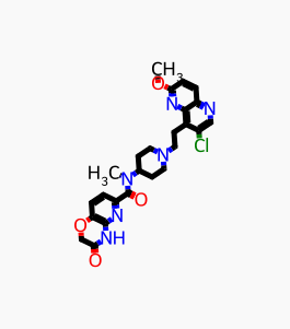 COc1ccc2ncc(Cl)c(CCN3CCC(N(C)C(=O)c4ccc5c(n4)NC(=O)CO5)CC3)c2n1